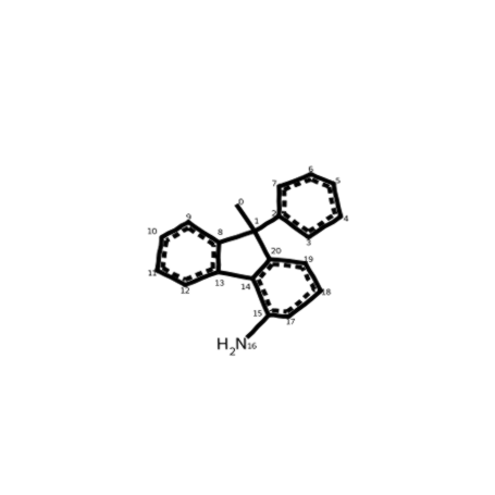 CC1(c2ccccc2)c2ccccc2-c2c(N)cccc21